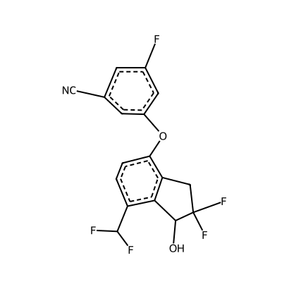 N#Cc1cc(F)cc(Oc2ccc(C(F)F)c3c2CC(F)(F)C3O)c1